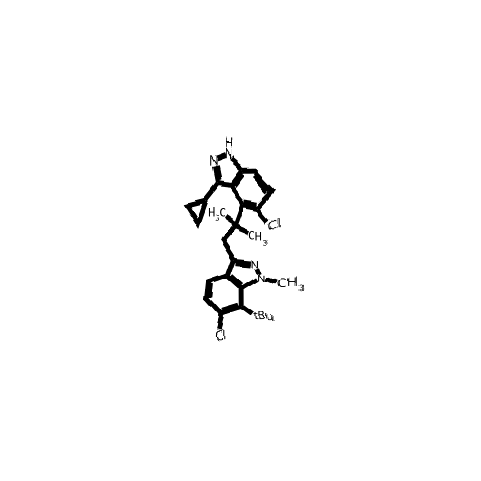 Cn1nc(CC(C)(C)c2c(Cl)ccc3[nH]nc(C4CC4)c23)c2ccc(Cl)c(C(C)(C)C)c21